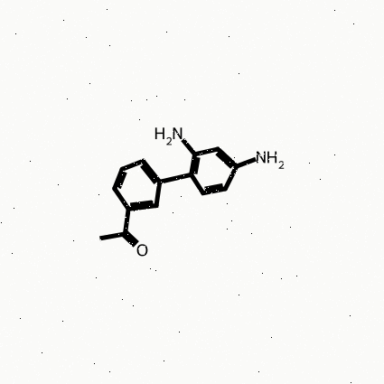 CC(=O)c1cccc(-c2ccc(N)cc2N)c1